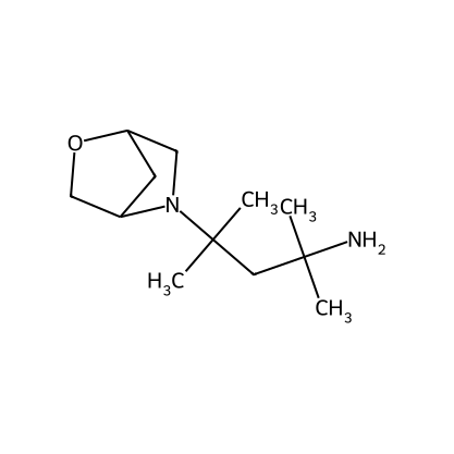 CC(C)(N)CC(C)(C)N1CC2CC1CO2